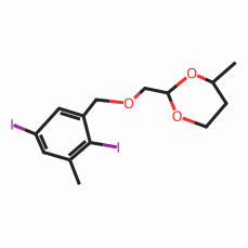 Cc1cc(I)cc(COCC2OCCC(C)O2)c1I